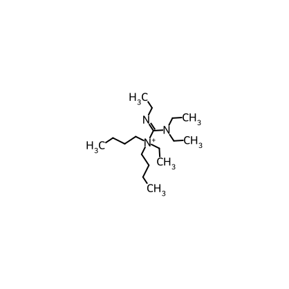 CCCC[N+](CC)(CCCC)C(=NCC)N(CC)CC